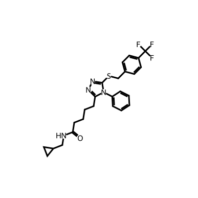 O=C(CCCCc1nnc(SCc2ccc(C(F)(F)F)cc2)n1-c1ccccc1)NCC1CC1